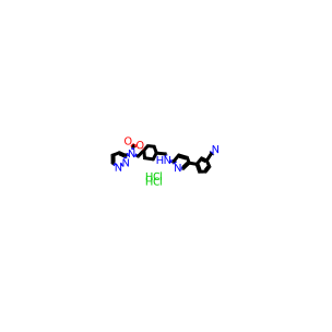 Cl.Cl.N#Cc1cccc(-c2ccc(NCC3CCC4(CC3)CN(c3cccnn3)C(=O)O4)nc2)c1